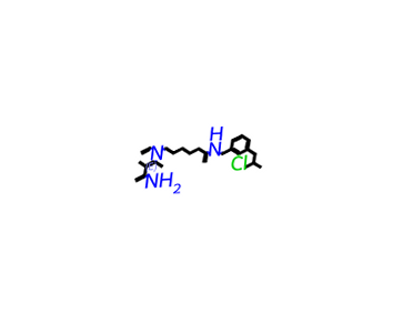 C=CN(CCCCCC(=C)NCc1cccc(CC(C)C)c1Cl)/C(C)=C(\C)C(=C)N